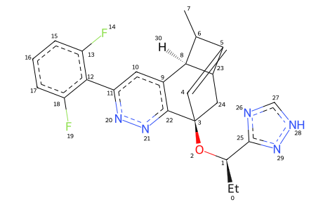 CC[C@@H](O[C@]12C=C3C(C)[C@H](c4cc(-c5c(F)cccc5F)nnc41)C3C2)c1nc[nH]n1